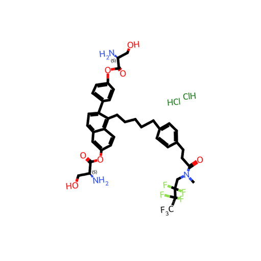 CN(CC(F)(F)C(F)(F)C(F)(F)F)C(=O)CCc1ccc(CCCCCc2c(-c3ccc(OC(=O)[C@@H](N)CO)cc3)ccc3cc(OC(=O)[C@@H](N)CO)ccc23)cc1.Cl.Cl